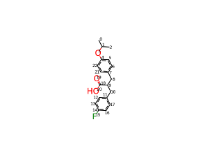 CC(C)Oc1ccc(CC(Cc2ccc(F)cc2)C(=O)O)cc1